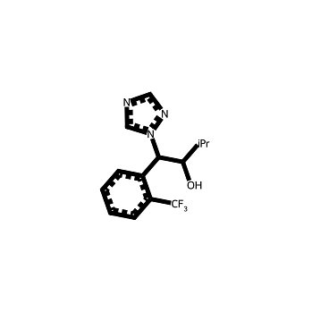 CC(C)C(O)C(c1ccccc1C(F)(F)F)n1cncn1